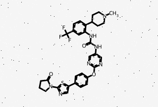 CN1CCC(c2ccc(C(F)(F)F)cc2NC(=O)Nc2cnc(Oc3ccc(-c4cnc(N5CCCC5=O)s4)cc3)nc2)CC1